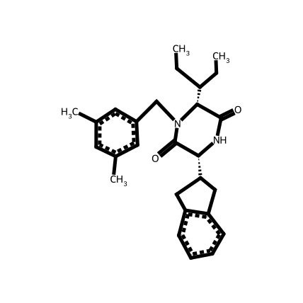 CCC(CC)[C@@H]1C(=O)N[C@H](C2Cc3ccccc3C2)C(=O)N1Cc1cc(C)cc(C)c1